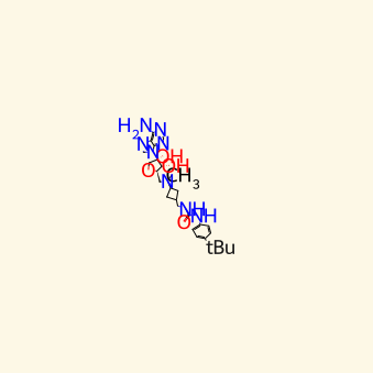 CN(C[C@H]1OC[C@@](O)(n2cnc3c(N)ncnc32)[C@@H]1O)C1CC(CNC(=O)Nc2ccc(C(C)(C)C)cc2)C1